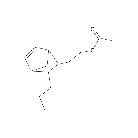 CCCC1C2C=CC(C2)C1CCOC(C)=O